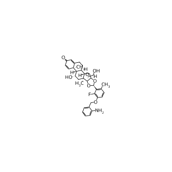 Cc1ccc(OCc2ccccc2N)c(F)c1[C@@H]1O[C@@H]2C[C@H]3[C@@H]4CCC5=CC(=O)C=C[C@]5(C)[C@H]4[C@@H](O)C[C@]3(C)[C@]2(C(=O)CO)O1